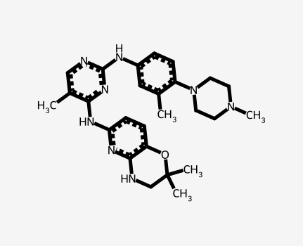 Cc1cc(Nc2ncc(C)c(Nc3ccc4c(n3)NCC(C)(C)O4)n2)ccc1N1CCN(C)CC1